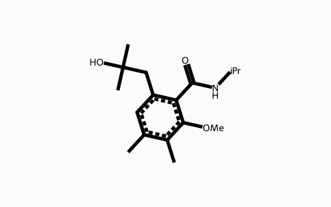 COc1c(C)c(C)cc(CC(C)(C)O)c1C(=O)NC(C)C